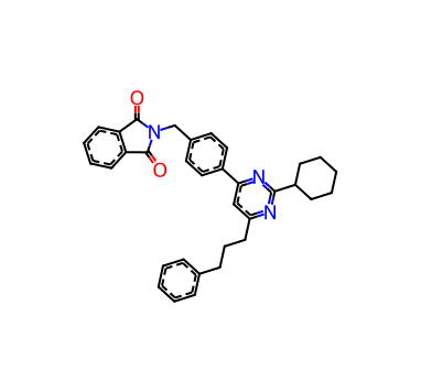 O=C1c2ccccc2C(=O)N1Cc1ccc(-c2cc(CCCc3ccccc3)nc(C3CCCCC3)n2)cc1